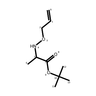 C=CCONC(C)C(=O)OC(C)(C)C